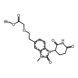 Cn1c(=O)n(C2CCC(=O)NC2=O)c2ccc(CCOCC(=O)OC(C)(C)C)cc21